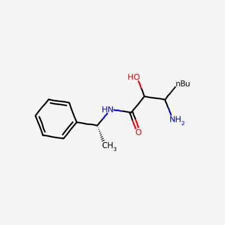 CCCCC(N)C(O)C(=O)N[C@H](C)c1ccccc1